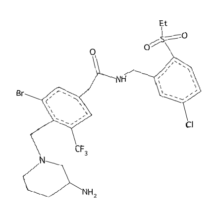 CCS(=O)(=O)c1ccc(Cl)cc1CNC(=O)c1cc(Br)c(CN2CCCC(N)C2)c(C(F)(F)F)c1